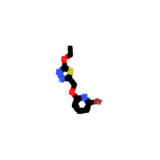 CCOc1nnc(COc2cccc(Br)n2)s1